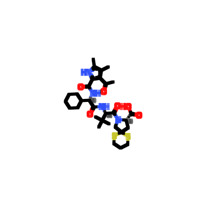 CC(=O)c1c(C(=O)N[C@H](C(=O)N[C@H](C(=O)N2CC3(C[C@H]2C(=O)O)SCCCS3)C(C)(C)C)C2CCCCC2)[nH]c(C)c1C